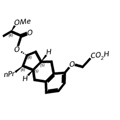 CCC[C@@H]1[C@H]2Cc3cccc(OCC(=O)O)c3C[C@H]2C[C@H]1OC(=O)[C@@H](C)OC